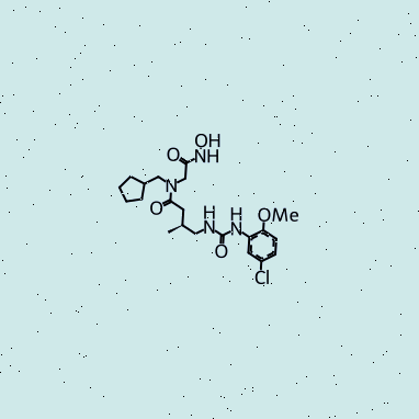 COc1ccc(Cl)cc1NC(=O)NC[C@@H](C)CC(=O)N(CC(=O)NO)CC1CCCC1